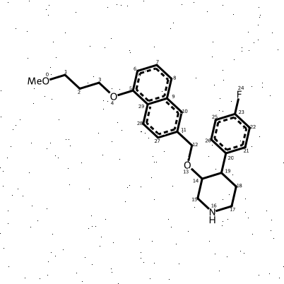 COCCCOc1cccc2cc(COC3CNCCC3c3ccc(F)cc3)ccc12